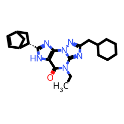 CCn1c(=O)c2[nH]c([C@H]3CC4C=CC3C4)nc2n2nc(CC3CCCCC3)nc12